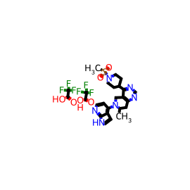 CC1Cc2ncnc(C3CCN(S(C)(=O)=O)CC3)c2CN1c1ccnc2[nH]ccc12.O=C(O)C(F)(F)F.O=C(O)C(F)(F)F